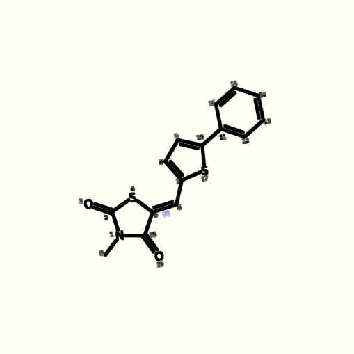 CN1C(=O)S/C(=C\c2ccc(-c3ccccc3)s2)C1=O